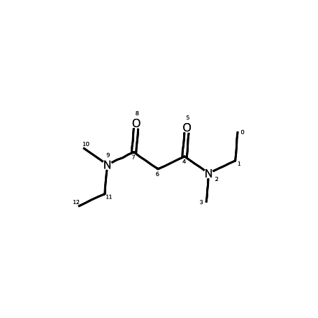 CCN(C)C(=O)CC(=O)N(C)CC